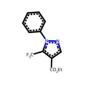 CCOC(=O)c1cnn(-c2ccccc2)c1C(F)(F)F